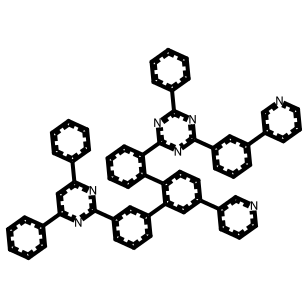 c1ccc(-c2cc(-c3ccccc3)nc(-c3cccc(-c4cc(-c5cccnc5)ccc4-c4ccccc4-c4nc(-c5ccccc5)nc(-c5cccc(-c6cccnc6)c5)n4)c3)n2)cc1